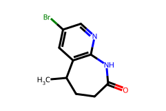 CC1CCC(=O)Nc2ncc(Br)cc21